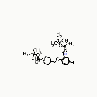 C=C(/N=C/c1cc(I)ccc1OCC1CCN(C(=O)OC(C)(C)C)CC1)O[Si](C)(C)C